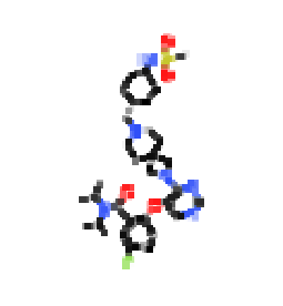 CC(C)N(C(=O)c1cc(F)ccc1Oc1cncnc1N1CC2(CCN(C[C@H]3CC[C@H](NS(C)(=O)=O)CC3)CC2)C1)C(C)C